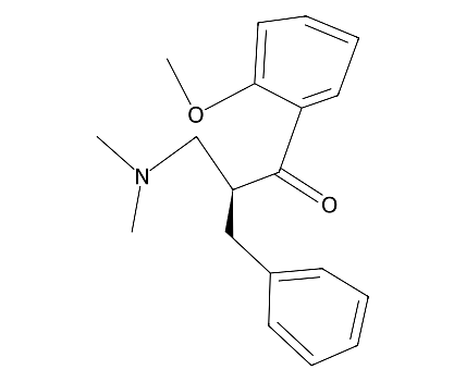 COc1ccccc1C(=O)[C@@H](Cc1ccccc1)CN(C)C